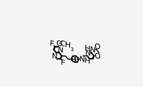 COc1nc2c(CCC34CCC(NCc5ccc6c(n5)NC(=O)CO6)(CC3)CO4)c(F)cnc2cc1F